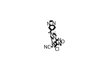 C[C@@H]1CN(c2nc(=O)n(C)c3c(Cl)n(CC#N)nc23)[C@@H](C)CN1[C@@H](C)c1ccc2nccnc2c1